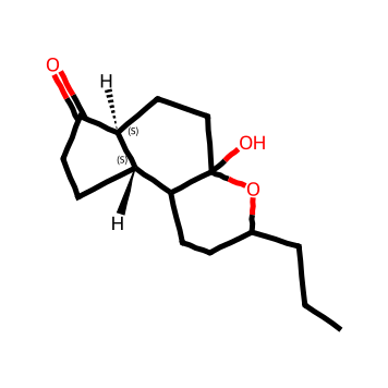 CCCC1CCC2[C@@H]3CCC(=O)[C@H]3CCC2(O)O1